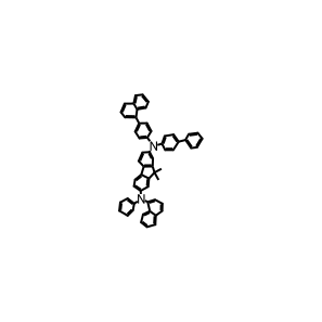 CC1(C)c2cc(N(c3ccc(-c4ccccc4)cc3)c3ccc(-c4cccc5ccccc45)cc3)ccc2-c2ccc(N(c3ccccc3)c3cccc4ccccc34)cc21